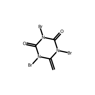 C=C1N(Br)C(=O)N(Br)C(=O)N1Br